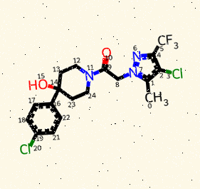 Cc1c(Cl)c(C(F)(F)F)nn1CC(=O)N1CCC(O)(c2ccc(Cl)cc2)CC1